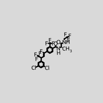 C[C@@H](NC(=O)c1ccc(/C(F)=C/C(c2cc(Cl)cc(Cl)c2)C(F)(F)F)cc1C(F)(F)F)C(=O)NCC(F)(F)F